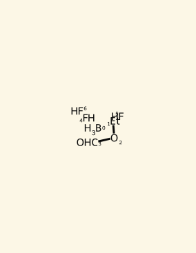 B.CCOC=O.F.F.F